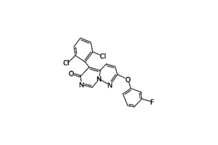 O=c1ncn2nc(Oc3cccc(F)c3)ccc2c1-c1c(Cl)cccc1Cl